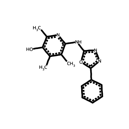 Cc1nc(Nc2nnc(-c3ccccc3)o2)c(C)c(C)c1O